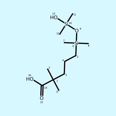 CC(C)(CCC[Si](C)(C)O[Si](C)(C)O)C(=O)O